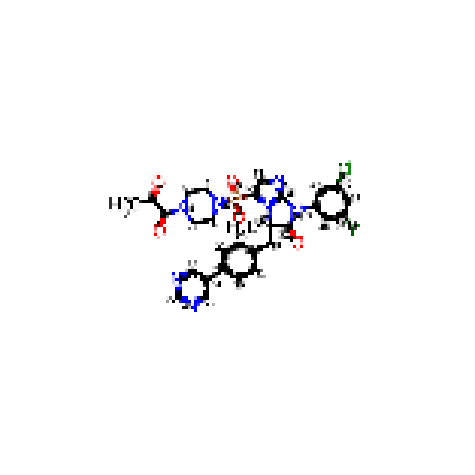 CC(=O)C(=O)N1CCN(S(=O)(=O)c2cnc3n2[C@](C)(Cc2ccc(-c4cncnc4)cc2)C(=O)N3c2cc(Cl)cc(Cl)c2)CC1